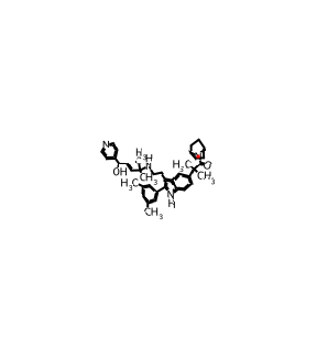 Cc1cc(C)cc(-c2[nH]c3ccc(C(C)(C)C(=O)N4C5CCC4CC5)cc3c2CCNC(C)(C)/C=C/C(O)c2ccncc2)c1